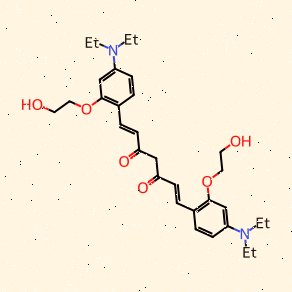 CCN(CC)c1ccc(/C=C/C(=O)CC(=O)/C=C/c2ccc(N(CC)CC)cc2OCCO)c(OCCO)c1